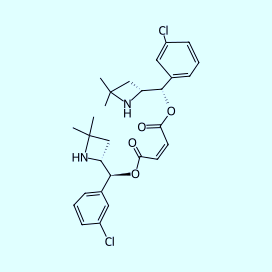 CC1(C)C[C@H]([C@@H](OC(=O)/C=C\C(=O)O[C@@H](c2cccc(Cl)c2)[C@H]2CC(C)(C)N2)c2cccc(Cl)c2)N1